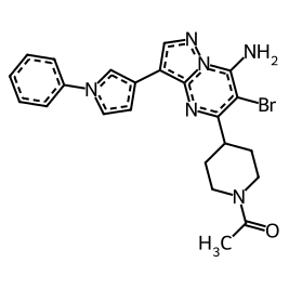 CC(=O)N1CCC(c2nc3c(-c4ccn(-c5ccccc5)c4)cnn3c(N)c2Br)CC1